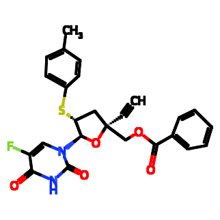 C#C[C@@]1(COC(=O)c2ccccc2)C[C@@H](Sc2ccc(C)cc2)[C@H](n2cc(F)c(=O)[nH]c2=O)O1